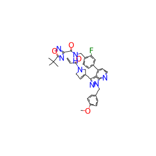 C=CC(=O)N1CC=C(c2nn(Cc3ccc(OC)cc3)c3nccc(-c4ccc(CNC(=O)c5noc(C(C)(C)C)n5)c(F)c4)c23)C1